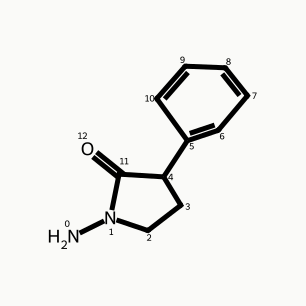 NN1CCC(c2ccccc2)C1=O